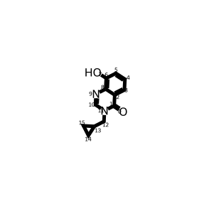 O=c1c2cccc(O)c2ncn1CC1CC1